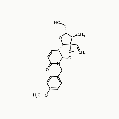 C=C[C@@]1(O)[C@H](C)[C@@H](CO)O[C@H]1n1ccc(=O)n(Cc2ccc(OC)cc2)c1=O